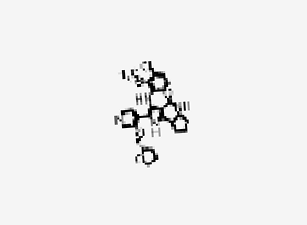 COc1c(Cl)cccc1Nc1c(-c2ccncc2OC[C@@H]2CCCO2)[nH]c2c1C(=O)NC1CCCC21